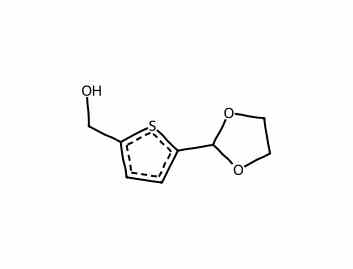 OCc1ccc(C2OCCO2)s1